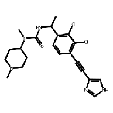 CC(NC(=O)N(C)C1CCN(C)CC1)c1ccc(C#Cc2c[nH]cn2)c(Cl)c1Cl